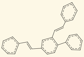 C(=Cc1ccc(-c2ccccc2)c(C=Cc2ccccc2)c1)c1ccccc1